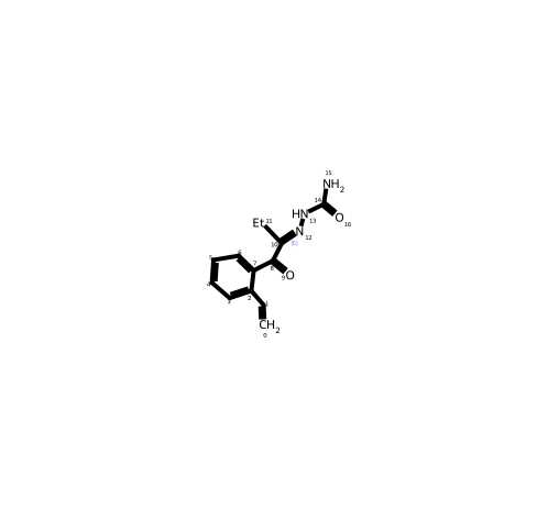 C=Cc1ccccc1C(=O)/C(CC)=N/NC(N)=O